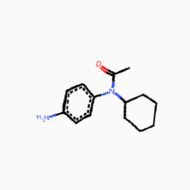 CC(=O)N(c1ccc(N)cc1)C1CCCCC1